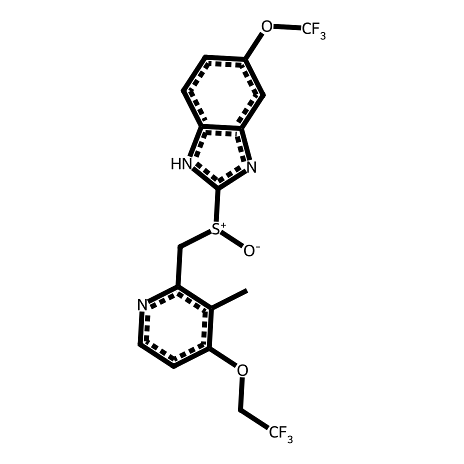 Cc1c(OCC(F)(F)F)ccnc1C[S+]([O-])c1nc2cc(OC(F)(F)F)ccc2[nH]1